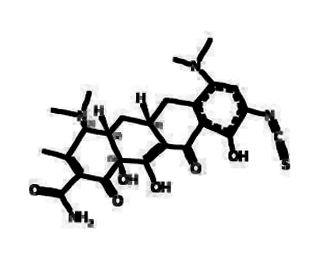 CC1=C(C(N)=O)C(=O)[C@@]2(O)C(O)=C3C(=O)c4c(O)c(N=C=S)cc(N(C)C)c4C[C@H]3C[C@H]2[C@@H]1N(C)C